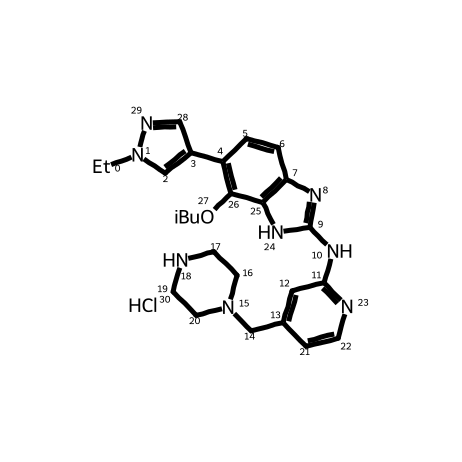 CCn1cc(-c2ccc3nc(Nc4cc(CN5CCNCC5)ccn4)[nH]c3c2OCC(C)C)cn1.Cl